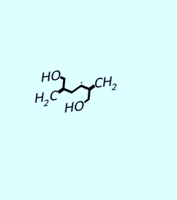 C=C([CH]CC(=C)CO)CO